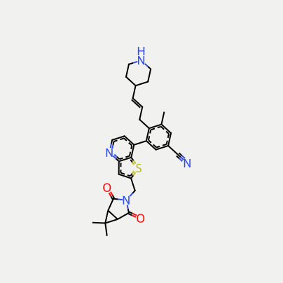 Cc1cc(C#N)cc(-c2ccnc3cc(CN4C(=O)C5C(C4=O)C5(C)C)sc23)c1CC=CC1CCNCC1